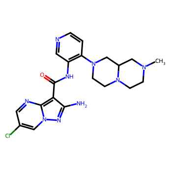 CN1CCN2CCN(c3ccncc3NC(=O)c3c(N)nn4cc(Cl)cnc34)CC2C1